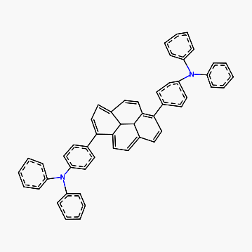 C1=CC2=C(c3ccc(N(c4ccccc4)c4ccccc4)cc3)C=CC3=CC=C4C(c5ccc(N(c6ccccc6)c6ccccc6)cc5)=CC=C1C4C32